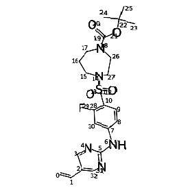 C=Cc1cnc(Nc2ccc(S(=O)(=O)N3CCCN(C(=O)OC(C)(C)C)CC3)c(F)c2)nc1